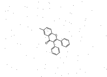 Cc1ccc2oc(-c3ccccc3)c(-c3ccccc3)c(=O)c2c1